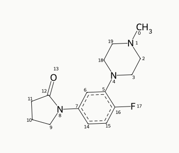 CN1CCN(c2cc(N3CCCC3=O)ccc2F)CC1